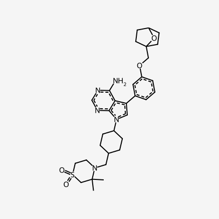 CC1(C)CS(=O)(=O)CCN1CC1CCC(n2cc(-c3cccc(OCC45CCC(CC4)O5)c3)c3c(N)ncnc32)CC1